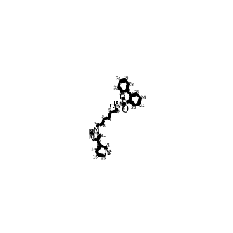 O=S(=O)(NCCCCCCn1cc(-c2cccnc2)nn1)c1ccccc1-c1ccccc1